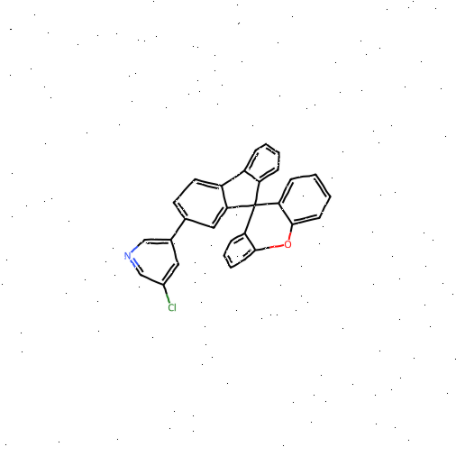 Clc1cncc(-c2ccc3c(c2)C2(c4ccccc4Oc4ccccc42)c2ccccc2-3)c1